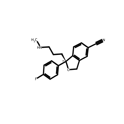 CNCCC[C@]1(c2ccc(F)cc2)OCc2cc(C#N)ccc21